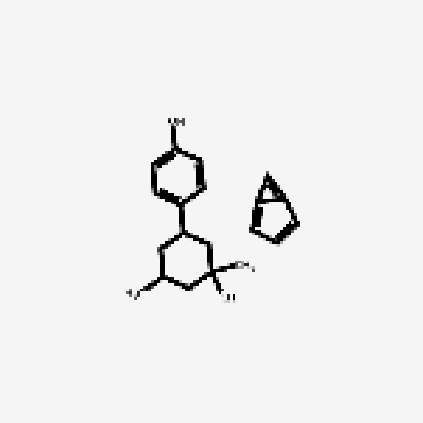 CC1CC(c2ccc(O)cc2)CC(C)(C)C1.c1cc2cc-2c1